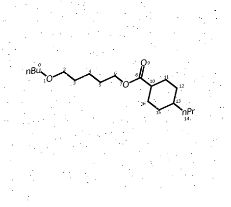 CCCCOCCCCCOC(=O)C1CCC(CCC)CC1